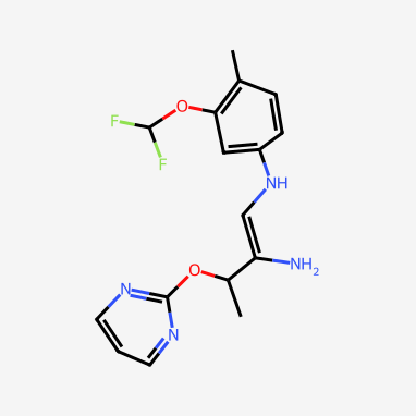 Cc1ccc(N/C=C(\N)C(C)Oc2ncccn2)cc1OC(F)F